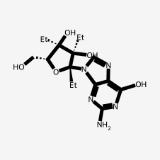 CC[C@@]1(O)[C@@](O)(CC)[C@@H](CO)O[C@@]1(CC)n1cnc2c(O)nc(N)nc21